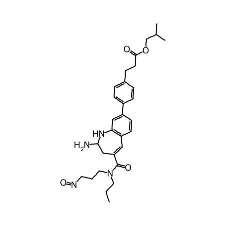 CCCN(CCCN=O)C(=O)C1=Cc2ccc(-c3ccc(CCC(=O)OCC(C)C)cc3)cc2NC(N)C1